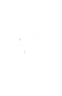 [Cu].[Cu].[Cu].[Cu].[Cu].[Cu].[Cu].[KH]